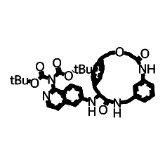 CC(C)(C)OC(=O)N(C(=O)OC(C)(C)C)c1nccc2cc(NC3C(=O)NCc4cccc(c4)NC(=O)COCc4ccc3cc4)ccc12